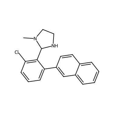 CN1CCNC1c1c(Cl)cccc1-c1ccc2ccccc2c1